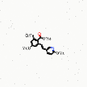 COC(=O)c1c(C=Cc2ccc(OC)nc2)cc(OC)cc1OC